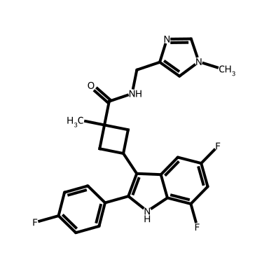 Cn1cnc(CNC(=O)C2(C)CC(c3c(-c4ccc(F)cc4)[nH]c4c(F)cc(F)cc34)C2)c1